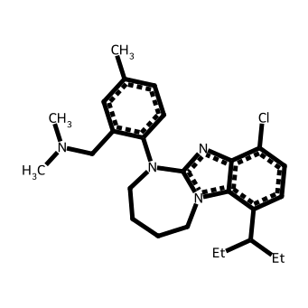 CCC(CC)c1ccc(Cl)c2nc3n(c12)CCCCN3c1ccc(C)cc1CN(C)C